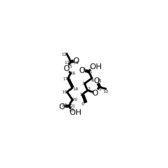 C=CC(CCC(=O)O)OC(C)=O.CC(=O)OCC=CCCC(=O)O